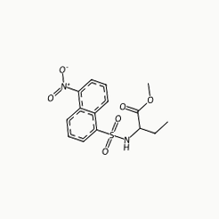 CCC(NS(=O)(=O)c1cccc2c([N+](=O)[O-])cccc12)C(=O)OC